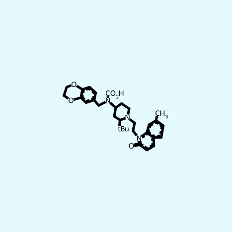 Cc1ccc2ccc(=O)n(CCN3CCC(N(Cc4ccc5c(c4)OCCO5)C(=O)O)CC3C(C)(C)C)c2c1